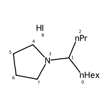 CCCCCCC(CCC)N1CCCC1.I